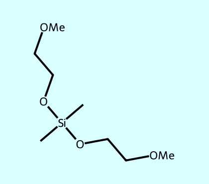 COCCO[Si](C)(C)OCCOC